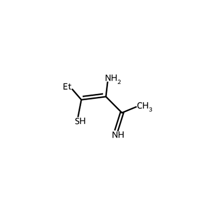 CC/C(S)=C(\N)C(C)=N